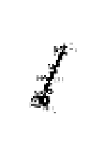 NC(=O)c1c(OC(=O)CCC(O)C(O)CCC(=O)CCCC(CO[N+](=O)[O-])O[N+](=O)[O-])ccc(N)c1O